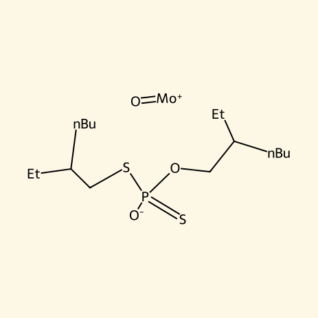 CCCCC(CC)COP([O-])(=S)SCC(CC)CCCC.[O]=[Mo+]